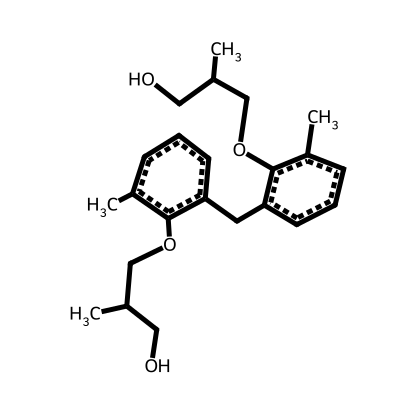 Cc1cccc(Cc2cccc(C)c2OCC(C)CO)c1OCC(C)CO